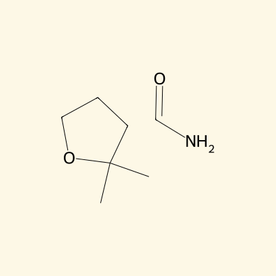 CC1(C)CCCO1.NC=O